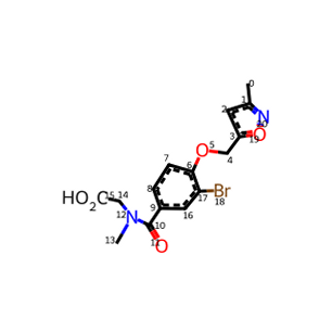 Cc1cc(COc2ccc(C(=O)N(C)CC(=O)O)cc2Br)on1